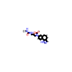 CCNC(=O)NCC1CN(c2ccc3c(c2)CCCc2cn[nH]c2-3)C(=O)O1